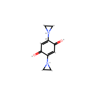 O=C1[C]=C(N2CC2)C(=O)[C]=C1N1CC1